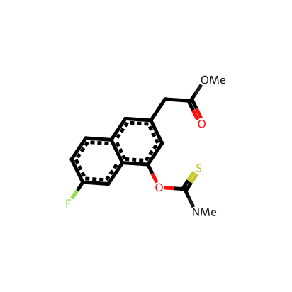 CNC(=S)Oc1cc(CC(=O)OC)cc2ccc(F)cc12